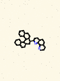 c1ccc2c(c1)ccc1cc(-c3ccc4ccc5cccnc5c4n3)c3ccc4ccccc4c3c12